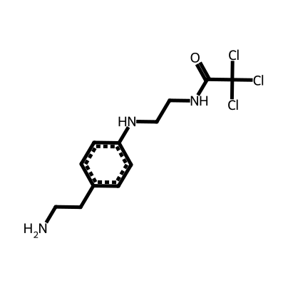 NCCc1ccc(NCCNC(=O)C(Cl)(Cl)Cl)cc1